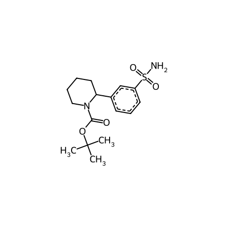 CC(C)(C)OC(=O)N1CCCCC1c1cccc(S(N)(=O)=O)c1